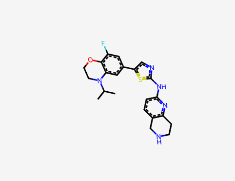 CC(C)N1CCOc2c(F)cc(-c3cnc(Nc4ccc5c(n4)CCNC5)s3)cc21